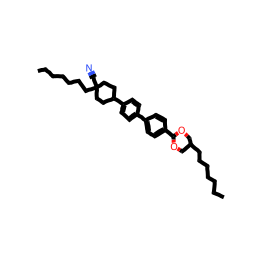 CCCCCCCC1COC(c2ccc(-c3ccc(C4CCC(C#N)(CCCCCCC)CC4)cc3)cc2)OC1